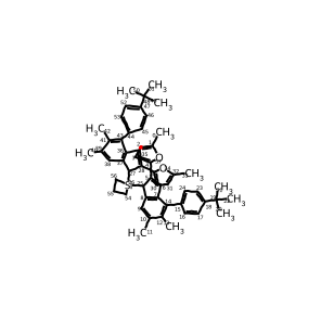 Cc1ccc(C2=Cc3c(cc(C)c(C)c3-c3ccc(C(C)(C)C)cc3)C2[Si]2(C3C(c4ccc(C)o4)=Cc4c3cc(C)c(C)c4-c3ccc(C(C)(C)C)cc3)CCC2)o1